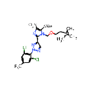 CSc1c([N+](=O)[O-])nc(-c2cnn(-c3c(Cl)cc(C(F)(F)F)cc3Cl)n2)n1COCC[Si](C)(C)C